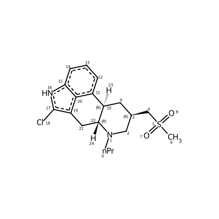 CCCN1C[C@H](CS(C)(=O)=O)C[C@@H]2c3cccc4[nH]c(Cl)c(c34)C[C@H]21